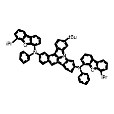 CC(C)c1cccc2c1oc1c(N(c3ccccc3)c3ccc4cc5c6ccc(N(c7ccccc7)c7cccc8c7oc7c(C(C)C)cccc78)cc6n6c7cc(C(C)(C)C)ccc7c(c4c3)c56)cccc12